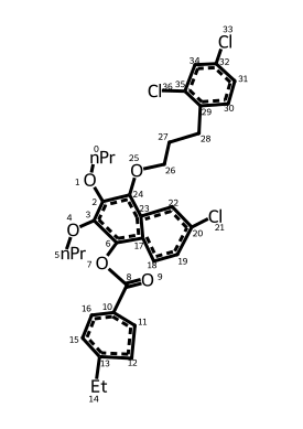 CCCOc1c(OCCC)c(OC(=O)c2ccc(CC)cc2)c2ccc(Cl)cc2c1OCCCc1ccc(Cl)cc1Cl